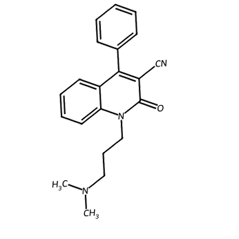 CN(C)CCCn1c(=O)c(C#N)c(-c2ccccc2)c2ccccc21